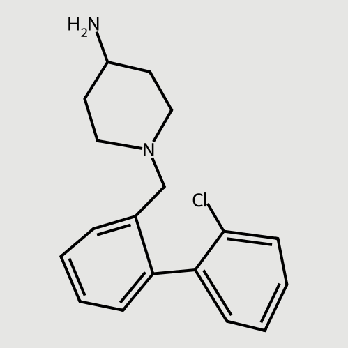 NC1CCN(Cc2ccccc2-c2ccccc2Cl)CC1